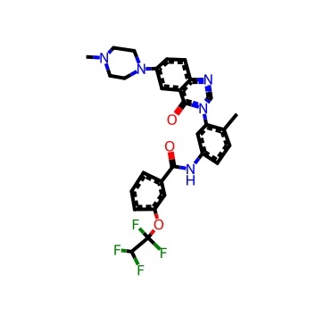 Cc1ccc(NC(=O)c2cccc(OC(F)(F)C(F)F)c2)cc1-n1cnc2ccc(N3CCN(C)CC3)cc2c1=O